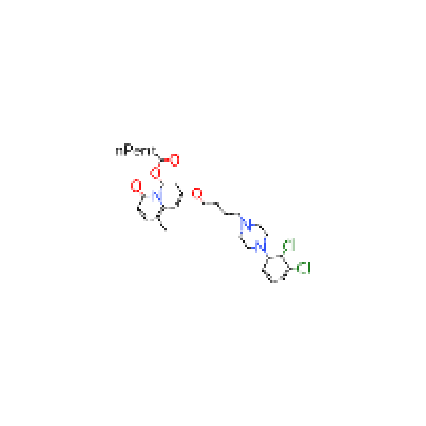 CCCCCC(=O)OCn1c(/C=C(\C)OCCCCN2CCN(C3C=CC=C(Cl)C3Cl)CC2)c(C)ccc1=O